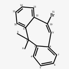 CC1(C)c2ccccc2C=C(Br)c2ccccc21